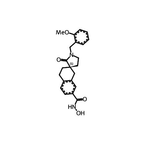 COc1ccccc1CN1CC[C@@]2(CCc3ccc(C(=O)NO)cc3C2)C1=O